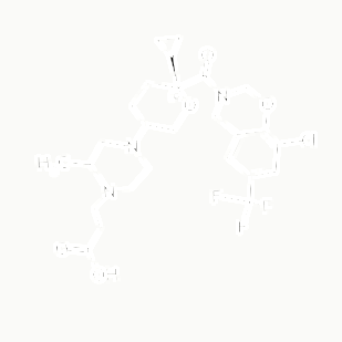 CC1CN(C2CC[C@@](C(=O)N3COc4c(Cl)cc(C(F)(F)F)cc4C3)(C3CC3)OC2)CCN1CCC(=O)O